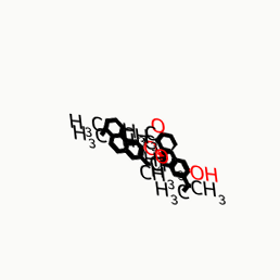 CC(C)c1cc2c(cc1O)[C@@]13CCC(=O)C(C)(C)C1[C@@H](Oc1cc4c(cc1C(C)C)C=CC1C(C)(C)CCC[C@]41C)[C@@H]2OC3